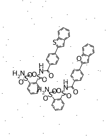 NS(=O)(=O)c1ccccc1S(=O)(=O)NC(=O)c1ccc(-c2cc3ccccc3o2)cc1.NS(=O)(=O)c1ccccc1S(=O)(=O)NC(=O)c1ccc(-c2cc3ccccc3s2)cc1